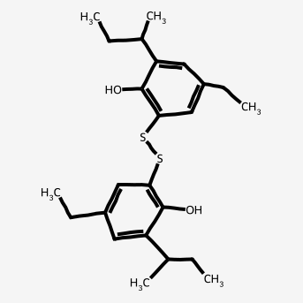 CCc1cc(SSc2cc(CC)cc(C(C)CC)c2O)c(O)c(C(C)CC)c1